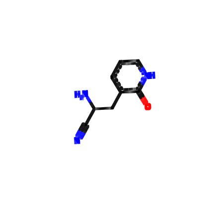 N#CC(N)Cc1ccc[nH]c1=O